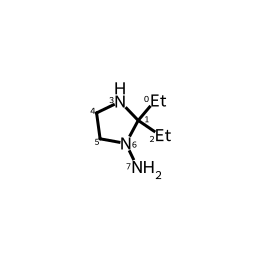 CCC1(CC)NCCN1N